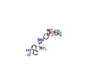 CC(C)(C)OC(=O)N1CCC(n2cc(C(N)c3ccc4c5c(cccc35)C(=O)N4)cn2)CC1